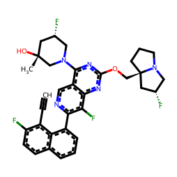 C#Cc1c(F)ccc2cccc(-c3ncc4c(N5C[C@@H](F)C[C@@](C)(O)C5)nc(OC[C@@]56CCCN5C[C@H](F)C6)nc4c3F)c12